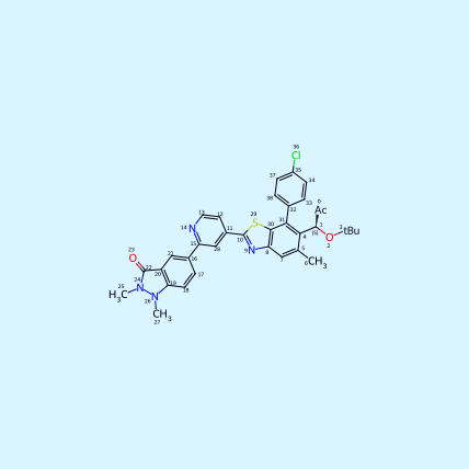 CC(=O)[C@@H](OC(C)(C)C)c1c(C)cc2nc(-c3ccnc(-c4ccc5c(c4)c(=O)n(C)n5C)c3)sc2c1-c1ccc(Cl)cc1